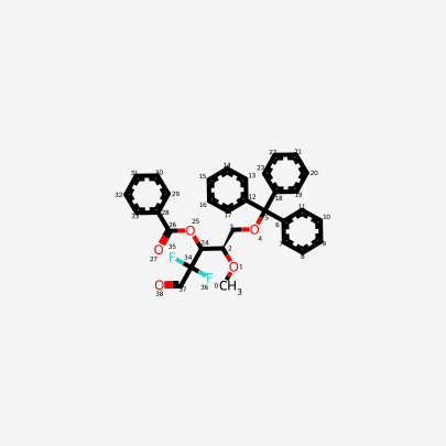 CO[C@H](COC(c1ccccc1)(c1ccccc1)c1ccccc1)C(OC(=O)c1ccccc1)C(F)(F)C=O